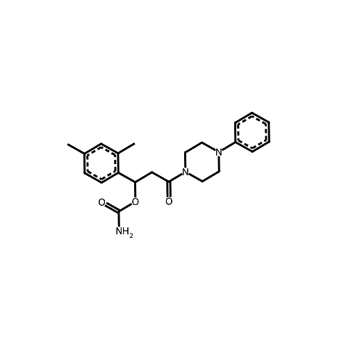 Cc1ccc(C(CC(=O)N2CCN(c3ccccc3)CC2)OC(N)=O)c(C)c1